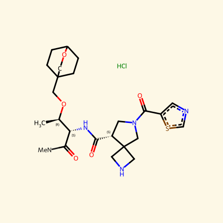 CNC(=O)[C@@H](NC(=O)[C@@H]1CN(C(=O)c2cncs2)CC12CNC2)[C@@H](C)OCC12CCC(CC1)OC2.Cl